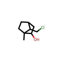 CC12CCC(CC1O)C2CCl